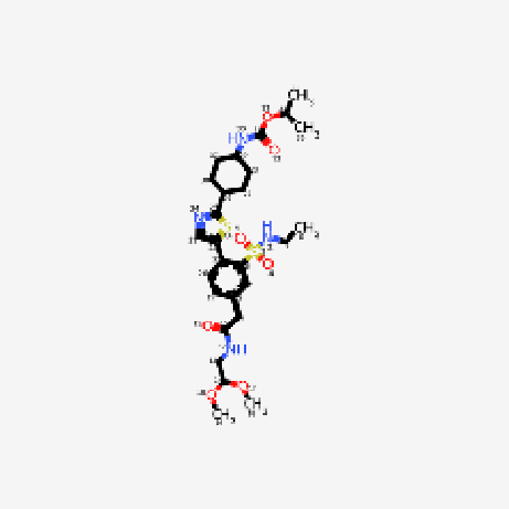 CCNS(=O)(=O)c1cc(CC(=O)NCC(OC)OC)ccc1-c1cnc(C2CCC(NC(=O)OC(C)C)CC2)s1